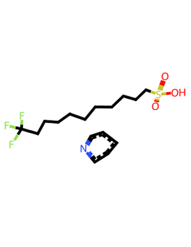 O=S(=O)(O)CCCCCCCCCCC(F)(F)F.c1ccncc1